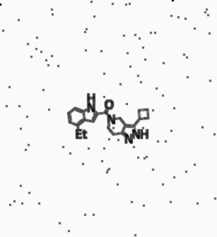 CCc1cccc2[nH]c(C(=O)N3CCc4n[nH]c(C5CCC5)c4C3)cc12